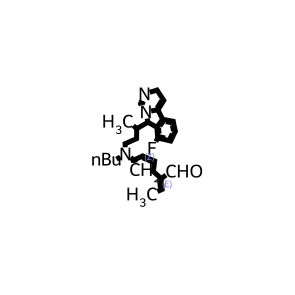 C=C(/C=C\C/C(C=O)=C\C)N(CCCC)CCC(C)C1c2c(F)cccc2C2=CCN=CN21